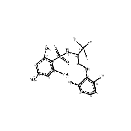 Cc1cc(C)c(S(=O)(=O)NC(CNc2c(F)cccc2F)C(F)(F)F)c(C)c1